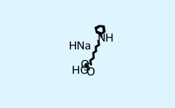 O=S(=O)(O)CCCCCCCCNc1ccccc1.[NaH]